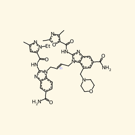 CCn1nc(C)cc1C(=O)Nc1nc2cc(C(N)=O)ccc2n1C/C=C/Cn1c(NC(=O)c2oc(C)nc2C)nc2cc(C(N)=O)cc(CN3CCOCC3)c21